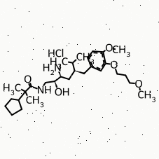 COCCCOc1cc(C[C@@H](C[C@H](N)[C@@H](O)CNC(=O)C(C)(C)C2CCCC2)C(C)C)ccc1OC.Cl